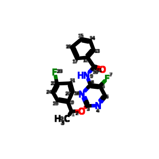 CC(Oc1ncc(F)c(NC(=O)c2ccccc2)n1)c1ccc(F)cc1